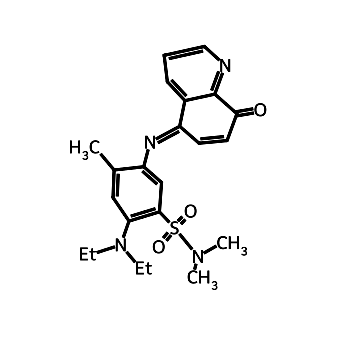 CCN(CC)c1cc(C)c(N=C2C=CC(=O)c3ncccc32)cc1S(=O)(=O)N(C)C